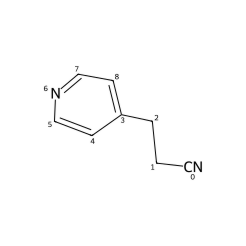 N#CCCc1ccncc1